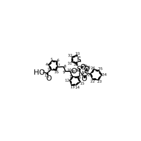 O=C(O)c1cccc(CCCc2ccccc2N(S(=O)(=O)c2ccccc2)S(=O)(=O)c2cccs2)c1